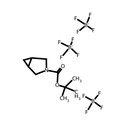 CC(C)(C)OC(=O)N1CC2CC2C1.F[B-](F)(F)F.F[B-](F)(F)F.F[B-](F)(F)F